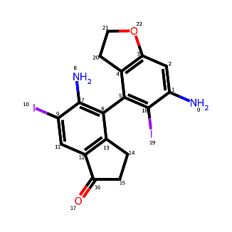 Nc1cc2c(c(-c3c(N)c(I)cc4c3CCC4=O)c1I)CCO2